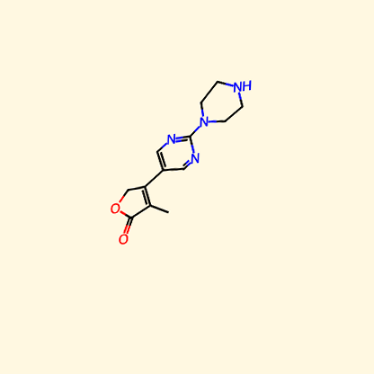 CC1=C(c2cnc(N3CCNCC3)nc2)COC1=O